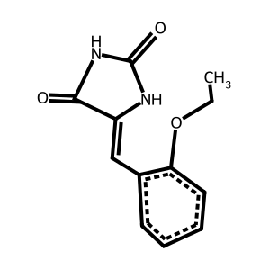 CCOc1ccccc1C=C1NC(=O)NC1=O